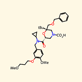 COCCCOc1cc(CN(C(=O)[C@H]2CN(C(=O)O)C[C@](COCc3ccccc3)(C(C)(C)C)O2)C2CC2)ccc1OC